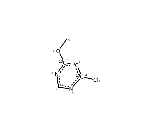 CO[13c]1[13cH][13c](Cl)ncn1